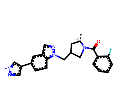 C[C@H]1CC(Cn2ncc3cc(-c4cn[nH]c4)ccc32)CN1C(=O)c1ccccc1F